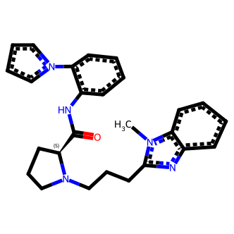 Cn1c(CCCN2CCC[C@H]2C(=O)Nc2ccccc2-n2cccc2)nc2ccccc21